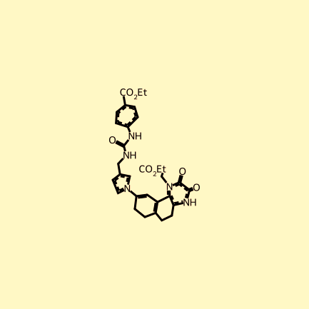 CCOC(=O)Cn1c2c([nH]c(=O)c1=O)CCC1=C2C=C(n2ccc(CNC(=O)Nc3ccc(C(=O)OCC)cc3)c2)CC1